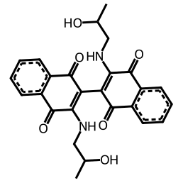 CC(O)CNC1=C(C2=C(NCC(C)O)C(=O)c3ccccc3C2=O)C(=O)c2ccccc2C1=O